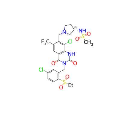 CCS(=O)(=O)c1ccc(Cl)cc1Cn1c(=O)[nH]c2c(Cl)c(CN3CC[C@H](NS(C)(=O)=O)C3)c(C(F)(F)F)cc2c1=O